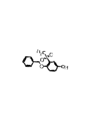 CS(=O)(=O)c1cc(O)ccc1OCc1ccccc1